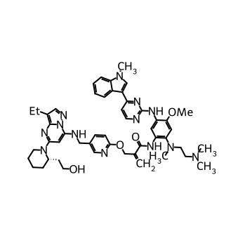 C=C(COc1ccc(CNc2cc(N3CCCC[C@H]3CCO)nc3c(CC)cnn23)cn1)C(=O)Nc1cc(Nc2nccc(-c3cn(C)c4ccccc34)n2)c(OC)cc1N(C)CCN(C)C